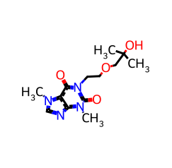 Cn1cnc2c1c(=O)n(CCOCC(C)(C)O)c(=O)n2C